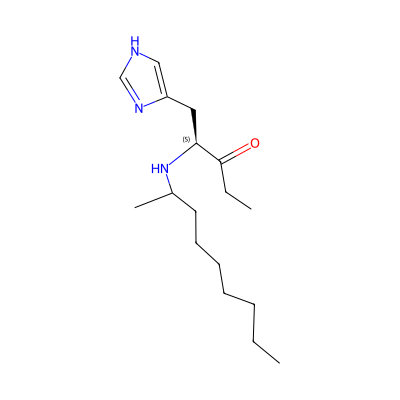 CCCCCCCC(C)N[C@@H](Cc1c[nH]cn1)C(=O)CC